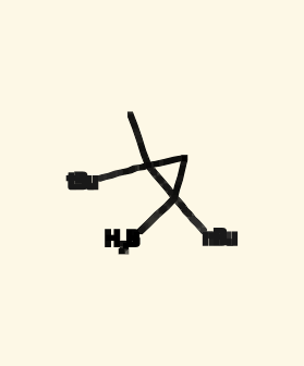 BC1(CCCC)CC1(C)C(C)(C)C